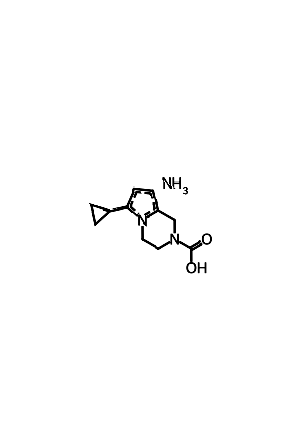 N.O=C(O)N1CCn2c(ccc2C2CC2)C1